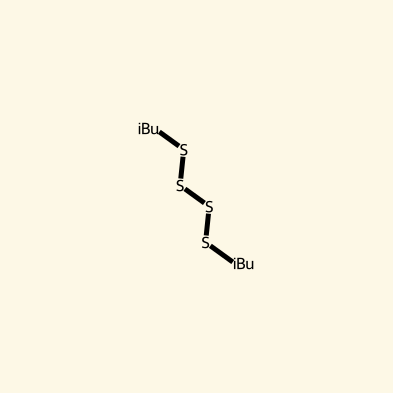 CCC(C)SSSSC(C)CC